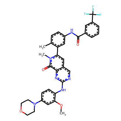 COc1cc(N2CCOCC2)ccc1Nc1ncc2cc(-c3cc(NC(=O)c4cccc(C(F)(F)F)c4)ccc3C)n(C)c(=O)c2n1